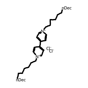 CCCCCCCCCCCCCCCC[n+]1ccc(-c2cc[n+](CCCCCCCCCCCCCCCC)cc2)cc1.[Cl-].[Cl-]